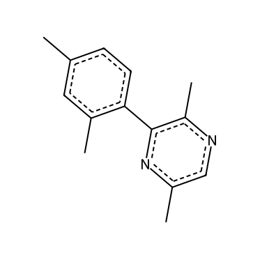 Cc1ccc(-c2nc(C)cnc2C)c(C)c1